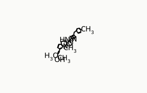 Cc1ccc(Cc2cnn(C(=O)N[C@H]3CCc4ccc(C#CC(C)(C)O)cc4N(C)C3=O)c2)cc1